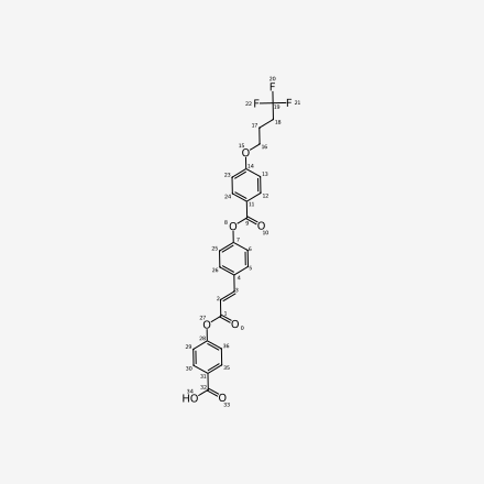 O=C(C=Cc1ccc(OC(=O)c2ccc(OCCCC(F)(F)F)cc2)cc1)Oc1ccc(C(=O)O)cc1